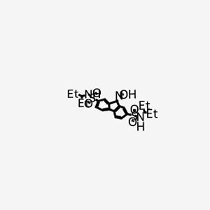 CCC(CC)NS(=O)(=O)c1ccc2c(c1)C(=NO)c1cc(S(=O)(=O)NC(CC)CC)ccc1-2